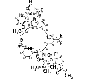 C=CC(=O)N1CC[C@](F)(C(=O)N(C)[C@H](C(=O)N[C@H]2Cc3cc(cc(C(F)F)c3)-c3ccc4c(c3)c(c(-c3cccnc3[C@H](C)OC)n4CC(F)(F)F)CC(C)(C)COC(=O)[C@@H]3CCCN(N3)C2=O)C(C)C)C1